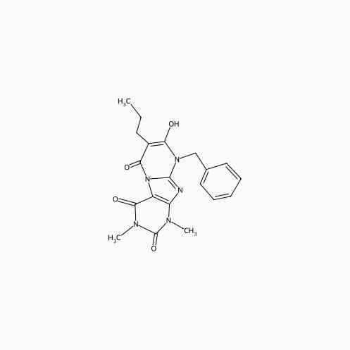 CCCc1c(O)n(Cc2ccccc2)c2nc3c(c(=O)n(C)c(=O)n3C)n2c1=O